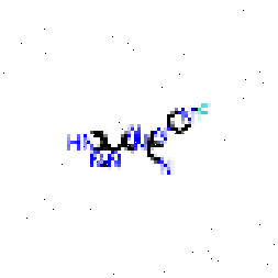 N#CCC1(n2cc(-c3ncnc4[nH]ccc34)cn2)CN(C2CCN(CF)CC2)C1